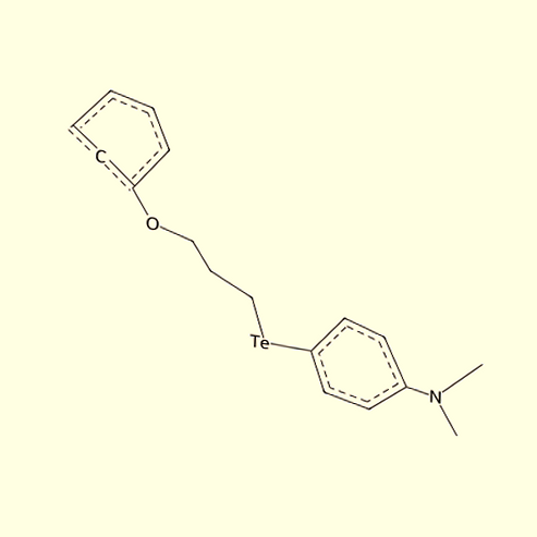 CN(C)c1ccc([Te]CCCOc2ccccc2)cc1